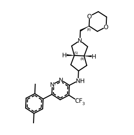 Cc1ccc(C)c(-c2cc(C(F)(F)F)c(NC3C[C@@H]4CN(C[C@@H]5COCCO5)C[C@@H]4C3)nn2)c1